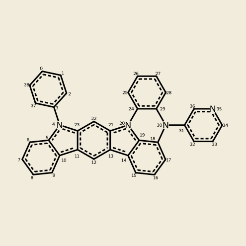 c1ccc(-n2c3ccccc3c3cc4c5cccc6c5n(c4cc32)-c2ccccc2N6c2cccnc2)cc1